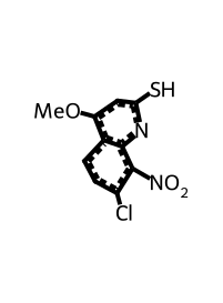 COc1cc(S)nc2c([N+](=O)[O-])c(Cl)ccc12